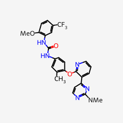 CNc1nccc(-c2cccnc2Oc2ccc(NC(=O)Nc3cc(C(F)(F)F)ccc3OC)cc2C)n1